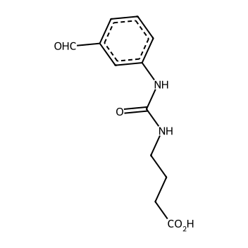 O=Cc1cccc(NC(=O)NCCCC(=O)O)c1